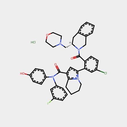 Cl.O=C(c1cc(-c2cc(Cl)ccc2C(=O)N2Cc3ccccc3C[C@H]2CN2CCOCC2)n2c1CCCC2)N(c1ccc(O)cc1)c1cccc(F)c1